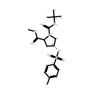 COC(=O)C1C[C@@H](OS(=O)(=O)c2ccc(C)cc2)CN1C(=O)OC(C)(C)C